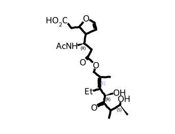 CC/C(=C(/C)COC(=O)C[C@@H](NC(C)=O)C1C=COC1CC(=O)O)[C@@H](O)C(=O)C(C)[C@H](C)O